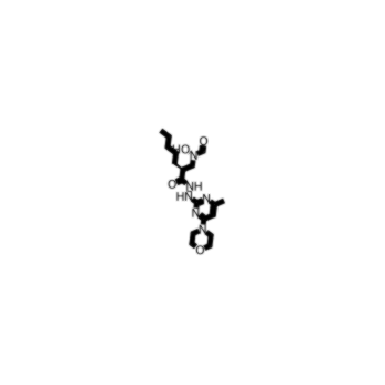 CCCCC[C@@H](CN(O)C=O)C(=O)NNc1nc(C)cc(N2CCOCC2)n1